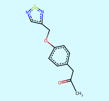 CC(=O)Cc1ccc(OCc2cnsn2)cc1